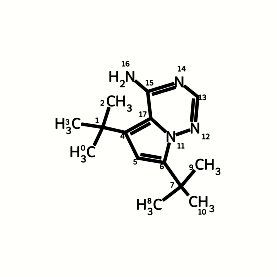 CC(C)(C)c1cc(C(C)(C)C)n2ncnc(N)c12